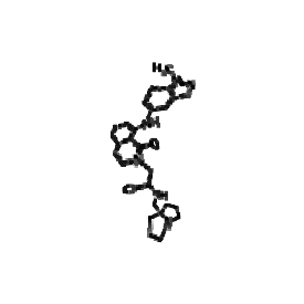 Cn1ncc2cc(Nc3cccc4ccn(CC(=O)NCC56CCCN5CCC6)c(=O)c34)ccc21